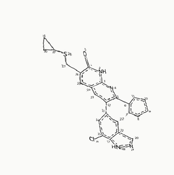 O=c1[nH]c2nc(-c3ccccc3)c(-c3cc(Cl)c4[nH]ncc4c3)cc2cc1CSC1CC1